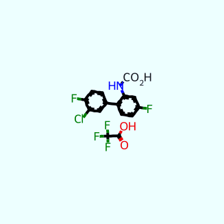 O=C(O)C(F)(F)F.O=C(O)Nc1cc(F)ccc1-c1ccc(F)c(Cl)c1